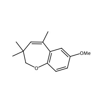 COc1ccc2c(c1)C(C)=CC(C)(C)CO2